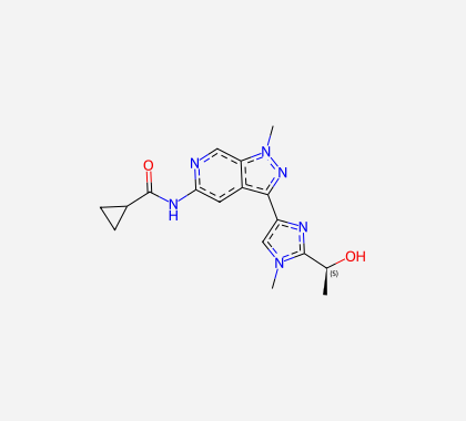 C[C@H](O)c1nc(-c2nn(C)c3cnc(NC(=O)C4CC4)cc23)cn1C